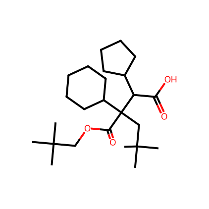 CC(C)(C)COC(=O)C(CC(C)(C)C)(C1CCCCC1)C(C(=O)O)C1CCCC1